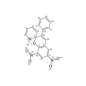 CN1C=CC=CC12Oc1c(cc([N+](=O)[O-])cc1[N+](=O)[O-])C=C2c1ccccc1